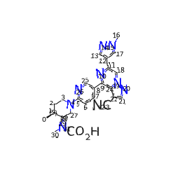 C[C@H]1CCN(c2ccc(-c3nc(-c4cnn(C)c4)cn4ncc(C#N)c34)cn2)C[C@H]1N(C)C(=O)O